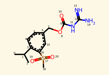 CC(C)c1ccc(COC(=O)NC(=N)N)cc1S(C)(=O)=O